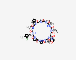 CC[C@H](C)[C@@H]1NC(=O)[C@H](CC(C)C)N(C)C(=O)C[C@@H](C(=O)N2CCOCC2)N(C)C(=O)[C@H](C(C)C)N(C)C(=O)C2(CCCC2)NC(=O)[C@@H]2CCCN2C(=O)[C@H](CCc2ccc(C(F)(F)F)c(Cl)c2)NC(=O)CN(C)C(=O)[C@H](CC2CCCC2)N(C)C(=O)CN(C)C(=O)CN(C)C1=O